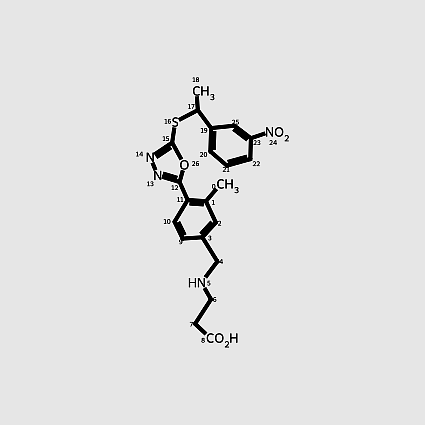 Cc1cc(CNCCC(=O)O)ccc1-c1nnc(SC(C)c2cccc([N+](=O)[O-])c2)o1